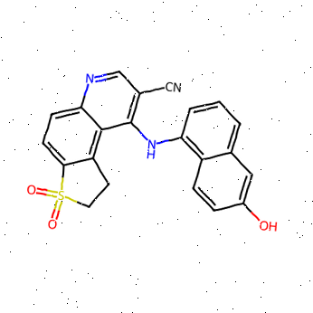 N#Cc1cnc2ccc3c(c2c1Nc1cccc2cc(O)ccc12)CCS3(=O)=O